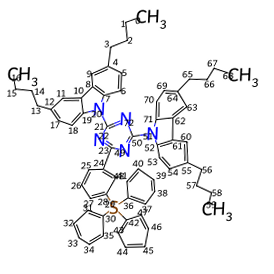 CCCCc1ccc2c(c1)c1cc(CCCC)ccc1n2-c1nc(-c2cccc(S(c3ccccc3)(c3ccccc3)c3ccccc3)c2)nc(-n2c3ccc(CCCC)cc3c3cc(CCCC)ccc32)n1